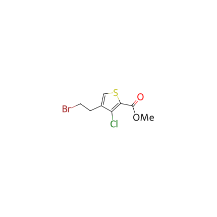 COC(=O)c1scc(CCBr)c1Cl